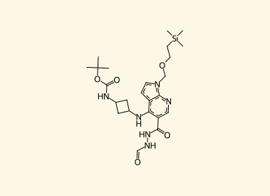 CC(C)(C)OC(=O)NC1CC(Nc2c(C(=O)NNC=O)cnc3c2ccn3COCC[Si](C)(C)C)C1